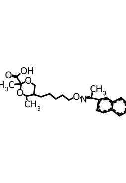 CC(=NOCCCCCC1COC(C)(C(=O)O)OC1C)c1ccc2ccccc2c1